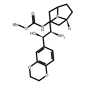 CC(C)(C)OC(=O)NC1CC2CC[C@H](C1)N2C[C@@H](N)[C@H](O)c1ccc2c(c1)OCCO2